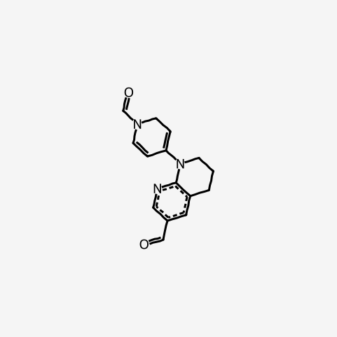 O=Cc1cnc2c(c1)CCCN2C1=CCN(C=O)C=C1